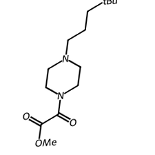 COC(=O)C(=O)N1CCN(CCCC(C)(C)C)CC1